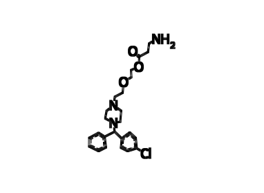 NCCC(=O)OCCOCCN1CCN(C(c2ccccc2)c2ccc(Cl)cc2)CC1